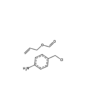 C=CCOC=O.Nc1ccc(CCl)cc1